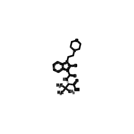 CC(C)(C)[C@H](NC(=O)n1c(=O)n(CCN2CCOCC2)c2ccccc21)C(=O)O